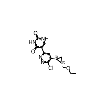 CCOC[C@H]1C[C@@H]1c1cc(-c2c[nH]c(=O)[nH]c2=O)nnc1Cl